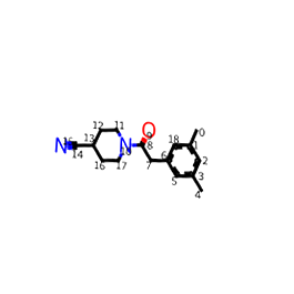 Cc1cc(C)cc(CC(=O)N2CCC(C#N)CC2)c1